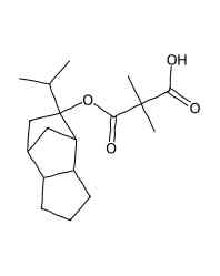 CC(C)C1(OC(=O)C(C)(C)C(=O)O)CC2CC1C1CCCC21